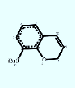 CC(C)COc1cccc2c1OCC=C2